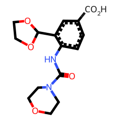 O=C(O)c1ccc(NC(=O)N2CCOCC2)c(C2OCCO2)c1